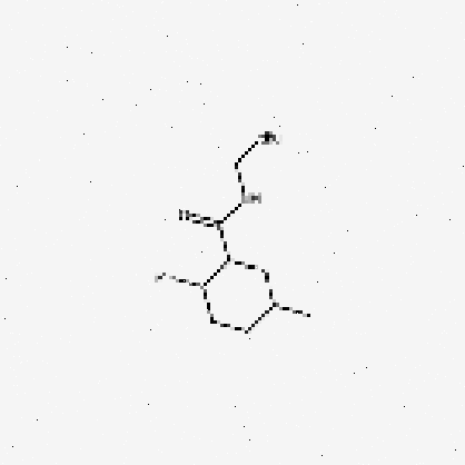 CC1CCC(C(C)C)C(C(=O)NCC(C)(C)C)C1